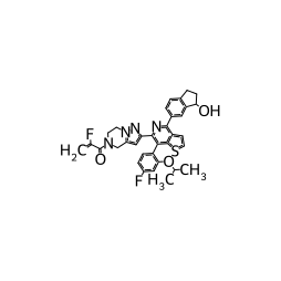 C=C(F)C(=O)N1CCn2nc(-c3nc(-c4ccc5c(c4)C(O)CC5)c4ccsc4c3-c3ccc(F)cc3OC(C)C)cc2C1